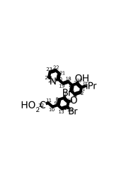 CC(C)c1cc(Oc2c(Br)cc(CCC(=O)O)cc2Br)cc(/C=C/c2ccccn2)c1O